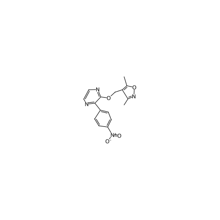 Cc1noc(C)c1COc1nccnc1-c1ccc([N+](=O)[O-])cc1